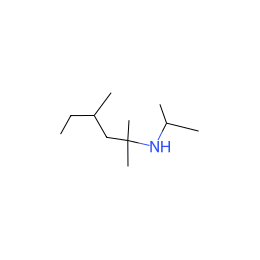 CCC(C)CC(C)(C)NC(C)C